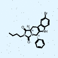 CCCCN1C(=O)[C@H]2Cc3c([nH]c4ccc(Br)cc34)[C@H](c3ccccc3)N2C1=O